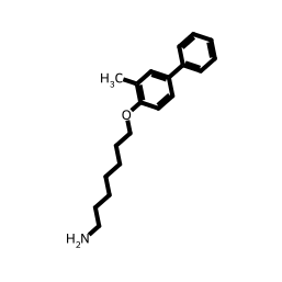 Cc1cc(-c2ccccc2)ccc1OCCCCCCCN